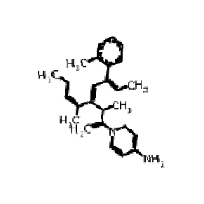 C=C(C(C)C(=C\C(=C\C)c1ccccc1C)/C(C)=C\CC)N1C=CC(N)=CC1